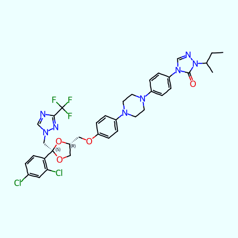 CCC(C)n1ncn(-c2ccc(N3CCN(c4ccc(OC[C@@H]5CO[C@@](Cn6cnc(C(F)(F)F)n6)(c6ccc(Cl)cc6Cl)O5)cc4)CC3)cc2)c1=O